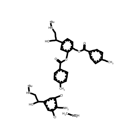 CC(C)(C)NCC(O)c1cc(Cl)c(N)c(Cl)c1.CS(=O)(=O)O.Cc1ccc(C(=O)Oc2ccc(C(O)CNC(C)(C)C)cc2OC(=O)c2ccc(C)cc2)cc1.Cl